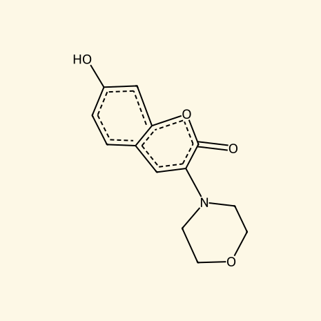 O=c1oc2cc(O)ccc2cc1N1CCOCC1